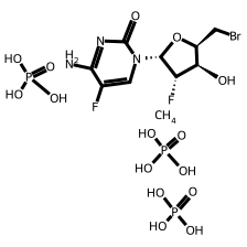 C.Nc1nc(=O)n([C@@H]2O[C@@H](CBr)[C@@H](O)[C@@H]2F)cc1F.O=P(O)(O)O.O=P(O)(O)O.O=P(O)(O)O